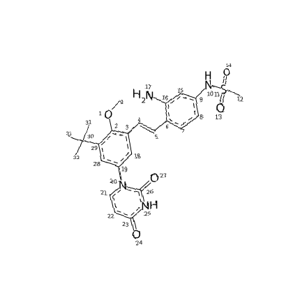 COc1c(C=Cc2ccc(NS(C)(=O)=O)cc2N)cc(-n2ccc(=O)[nH]c2=O)cc1C(C)(C)C